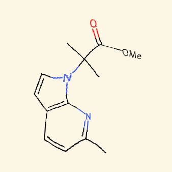 COC(=O)C(C)(C)n1ccc2ccc(C)nc21